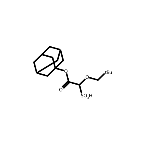 CC(C)(C)COC(C(=O)OC12CC3CC(CC(C3)C1)C2)S(=O)(=O)O